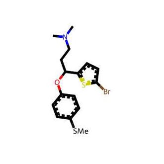 CSc1ccc(OC(CCN(C)C)c2ccc(Br)s2)cc1